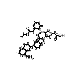 CCOC(=O)Cc1ccccc1OCc1c2cc(-c3ccc4ccnc(N)c4c3)ccc2nn1[C@H]1CCN(CC(=O)O)C1